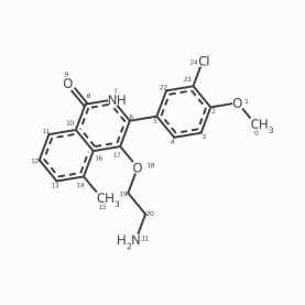 COc1ccc(-c2[nH]c(=O)c3cccc(C)c3c2OCCN)cc1Cl